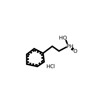 Cl.O=[PH](O)CCc1ccccc1